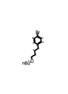 CCCCOCCCCc1ccc(Br)cc1